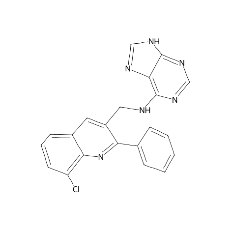 Clc1cccc2cc(CNc3ncnc4[nH]cnc34)c(-c3ccccc3)nc12